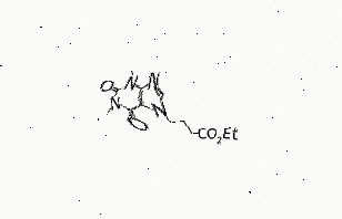 CCOC(=O)CCCn1cnc2c1c(=O)n(C)c(=O)n2C